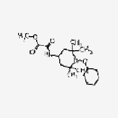 COC(=O)C(=O)NC1CC(C)(C)N(OC2CCCCC2)C(C)(C)C1